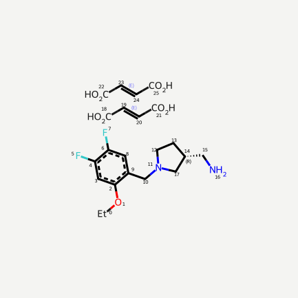 CCOc1cc(F)c(F)cc1CN1CC[C@H](CN)C1.O=C(O)/C=C/C(=O)O.O=C(O)/C=C/C(=O)O